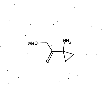 COCC(=O)C1(N)CC1